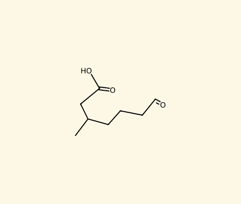 CC(CCCC=O)CC(=O)O